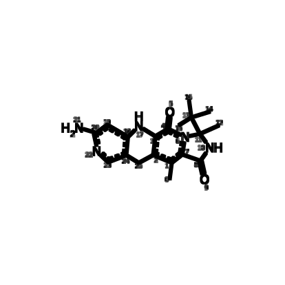 Cc1c2c(c(=O)n3c1C(=O)NC3(C)C(C)(C)C)Nc1cc(N)ncc1C2